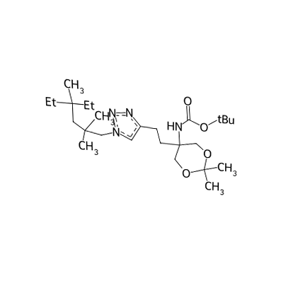 CCC(C)(CC)CC(C)(C)Cn1cc(CCC2(NC(=O)OC(C)(C)C)COC(C)(C)OC2)nn1